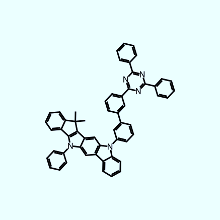 CC1(C)c2ccccc2-c2c1c1cc3c(cc1n2-c1ccccc1)c1ccccc1n3-c1cccc(-c2cccc(-c3nc(-c4ccccc4)nc(-c4ccccc4)n3)c2)c1